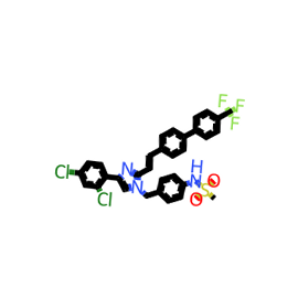 CS(=O)(=O)Nc1ccc(Cn2cc(-c3ccc(Cl)cc3Cl)nc2C=Cc2ccc(-c3ccc(C(F)(F)F)cc3)cc2)cc1